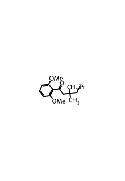 COc1cccc(OC)c1C(=O)CC(C)(C)CC(C)C